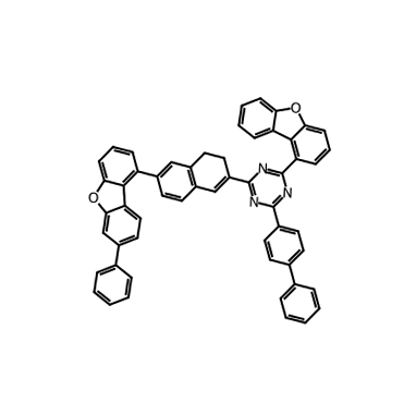 C1=C(c2nc(-c3ccc(-c4ccccc4)cc3)nc(-c3cccc4oc5ccccc5c34)n2)CCc2cc(-c3cccc4oc5cc(-c6ccccc6)ccc5c34)ccc21